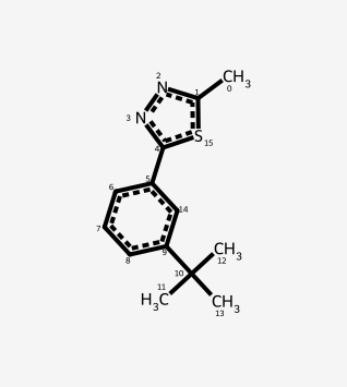 Cc1nnc(-c2cccc(C(C)(C)C)c2)s1